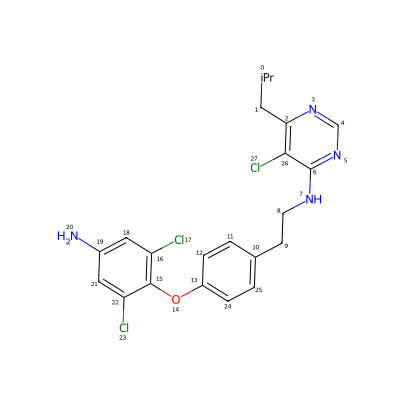 CC(C)Cc1ncnc(NCCc2ccc(Oc3c(Cl)cc(N)cc3Cl)cc2)c1Cl